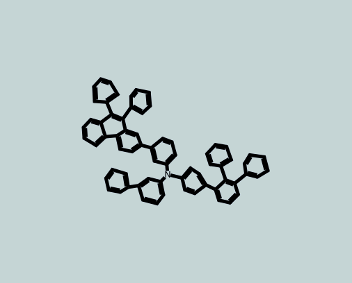 c1ccc(-c2cccc(N(c3ccc(-c4cccc(-c5ccccc5)c4-c4ccccc4)cc3)c3cccc(-c4ccc5c(c4)c(-c4ccccc4)c(-c4ccccc4)c4ccccc45)c3)c2)cc1